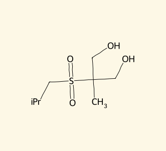 CC(C)CS(=O)(=O)C(C)(CO)CO